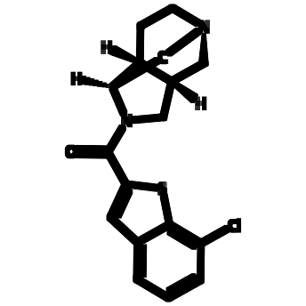 O=C(c1cc2cccc(Cl)c2s1)N1C[C@H]2C[N@]3CC[C@H]2[C@H]1C3